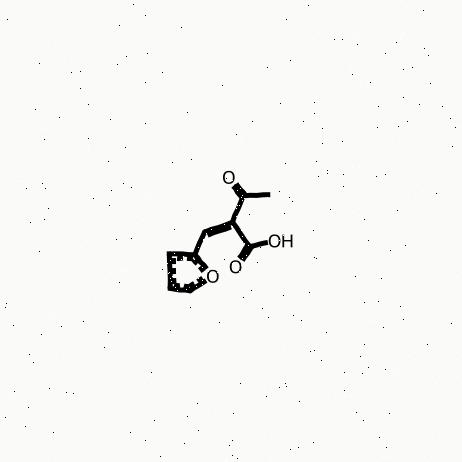 CC(=O)C(=Cc1ccco1)C(=O)O